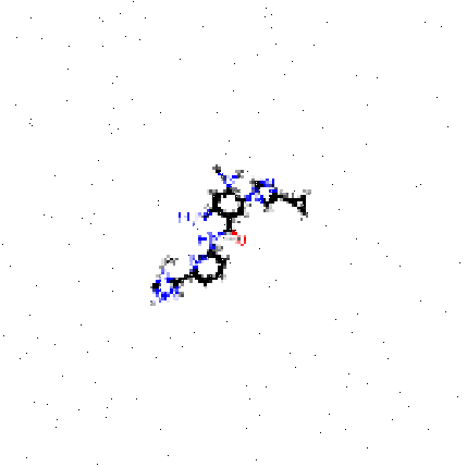 CC(C)n1cnnc1-c1cccc(NC(=O)c2cc(-n3cnc(C4CC4)c3)c(N(C)C)cc2N)n1